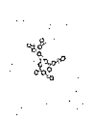 CC1(C)c2ccccc2-c2ccc(-c3cc4nc(-c5ccc(N(c6ccccc6)c6ccc(-c7nc8ccccc8o7)cc6)cc5)c(-c5ccc(N(c6ccccc6)c6ccc(-c7nc8ccccc8o7)cc6)cc5)nc4cc3-c3ccc4c(c3)C(C)(C)c3ccccc3-4)cc21